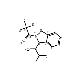 CC(C)C(=O)C1c2ccccc2CN1C(=O)C(C)(C)C